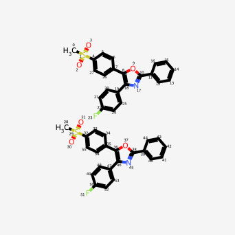 CS(=O)(=O)c1ccc(-c2oc(-c3ccccc3)nc2-c2ccc(F)cc2)cc1.CS(=O)(=O)c1ccc(-c2oc(-c3ccccc3)nc2-c2ccc(F)cc2)cc1